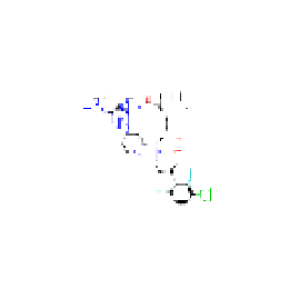 C[C@@H]1CCC[C@H](N2CCC(c3c(F)ccc(Cl)c3F)=CC2=O)c2cc(ccn2)-n2nc(NC(=O)O)cc2NC1=O